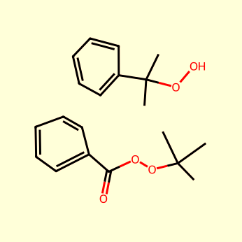 CC(C)(C)OOC(=O)c1ccccc1.CC(C)(OO)c1ccccc1